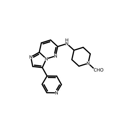 O=CN1CCC(Nc2ccc3ncc(-c4ccncc4)n3n2)CC1